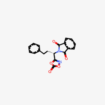 O=C1c2ccccc2C(=O)N1[C@@H](CCc1ccccc1)c1noc(=O)o1